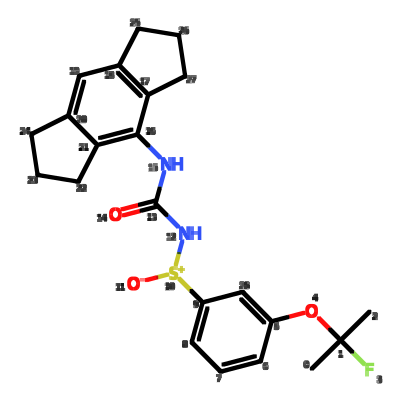 CC(C)(F)Oc1cccc([S+]([O-])NC(=O)Nc2c3c(cc4c2CCC4)CCC3)c1